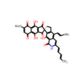 C/C=C/C=C/c1cc2c(/C=C/CCCC)c3c(c(O)c2c(=O)[nH]1)[C@@]1(CC3)C(=O)c2c(O)c3c(c(O)c2C1=O)C(=O)C(OC)=CC3=O